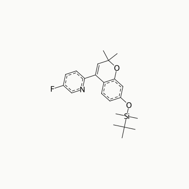 CC1(C)C=C(c2ccc(F)cn2)c2ccc(O[Si](C)(C)C(C)(C)C)cc2O1